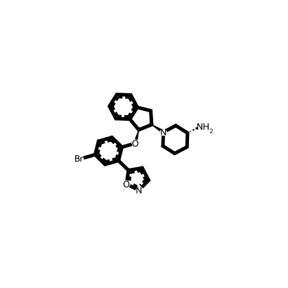 N[C@@H]1CCCN([C@@H]2Cc3ccccc3[C@@H]2Oc2ccc(Br)cc2-c2ccno2)C1